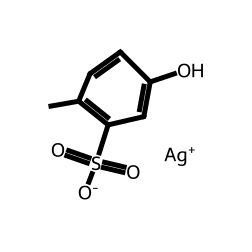 Cc1ccc(O)cc1S(=O)(=O)[O-].[Ag+]